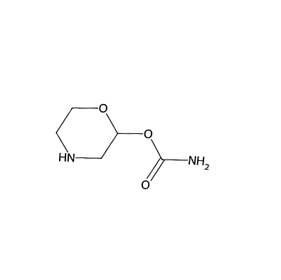 NC(=O)OC1CNCCO1